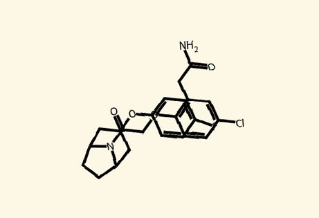 NC(=O)Cc1cc(Cl)ccc1OCC(=O)N1C2CCC1CC(Oc1ccc(F)cc1)C2